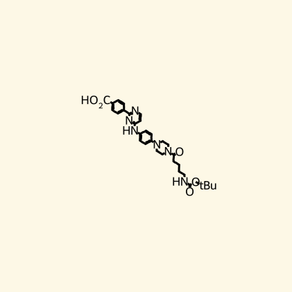 CC(C)(C)OC(=O)NCCCCC(=O)N1CCN(c2ccc(Nc3ccnc(-c4ccc(C(=O)O)cc4)n3)cc2)CC1